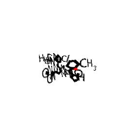 CNc1ncc(Cl)cc1-c1nc(-c2noc(=O)[nH]2)cc2nc(N3CCO[C@H]4CCC[C@@H]43)n(C[C@H]3CC[C@H](C)CC3)c12